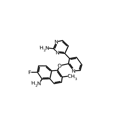 Cc1ccc2c(N)c(F)ccc2c1Oc1ncccc1-c1ccnc(N)n1